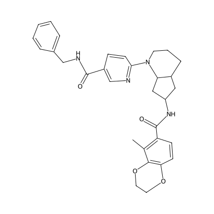 Cc1c(C(=O)NC2CC3CCCN(c4ccc(C(=O)NCc5ccccc5)cn4)C3C2)ccc2c1OCCO2